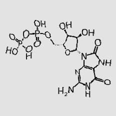 Nc1nc2c([nH]c(=O)n2[C@@H]2O[C@H](COP(=O)(O)OP(=O)(O)O)[C@@H](O)[C@H]2O)c(=O)[nH]1